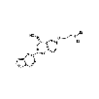 CCN(CC)CCOc1ccc2oc(-c3cc4cccn4cn3)cc(=NO)c2c1